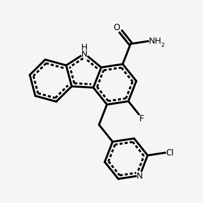 NC(=O)c1cc(F)c(Cc2ccnc(Cl)c2)c2c1[nH]c1ccccc12